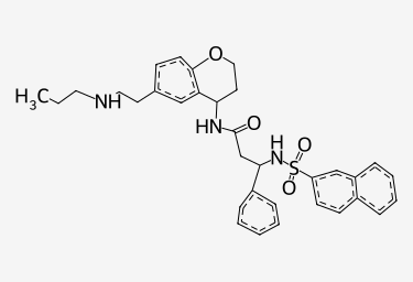 CCCNCCc1ccc2c(c1)C(NC(=O)CC(NS(=O)(=O)c1ccc3ccccc3c1)c1ccccc1)CCO2